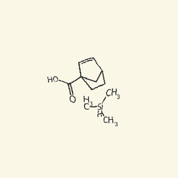 C[SiH](C)C.O=C(O)C12C=CC(CC1)C2